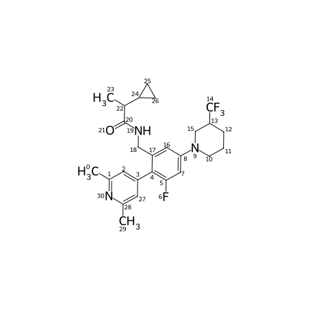 Cc1cc(-c2c(F)cc(N3CCCC(C(F)(F)F)C3)cc2CNC(=O)C(C)C2CC2)cc(C)n1